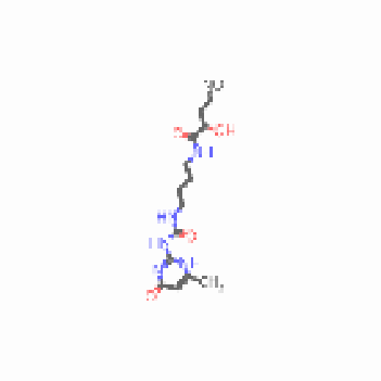 Cc1cc(=O)nc(NC(=O)NCCCCNC(=O)C(O)CCN=O)[nH]1